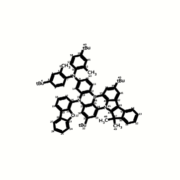 Cc1cc(C(C)(C)C)ccc1N(c1ccc2c(c1)N(c1cccc3c1oc1ccccc13)c1cc(C(C)(C)C)cc3c1B2c1cc(C(C)(C)C)cc2c4c(n-3c12)C(C)(C)c1ccccc1-4)c1ccc(C(C)(C)C)cc1C